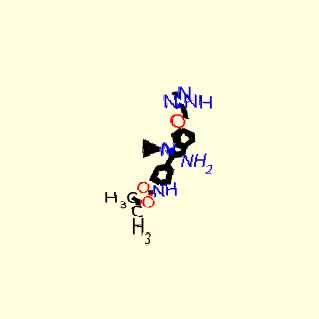 CC(C)OC(=O)Nc1ccc(-c2c(N)c3ccc(OCc4ncn[nH]4)cc3n2C2CC2)cc1